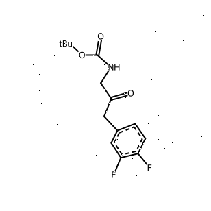 CC(C)(C)OC(=O)NCC(=O)Cc1ccc(F)c(F)c1